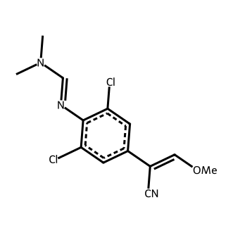 COC=C(C#N)c1cc(Cl)c(N=CN(C)C)c(Cl)c1